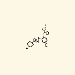 CCOC(=O)Cc1ccc(Cl)cc1/C(C)=N/Oc1ccc(F)cc1